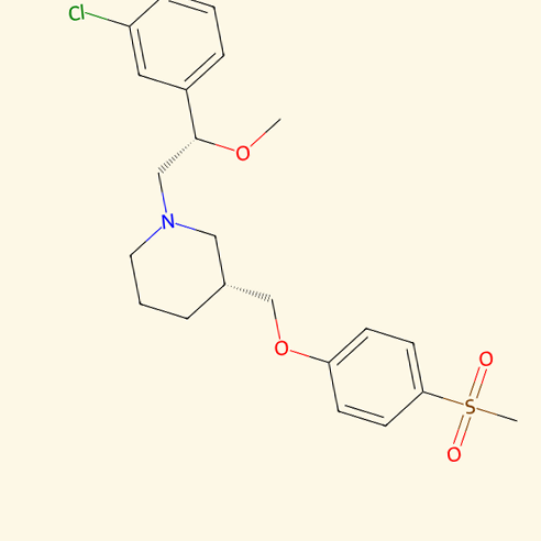 CO[C@H](CN1CCC[C@@H](COc2ccc(S(C)(=O)=O)cc2)C1)c1cccc(Cl)c1